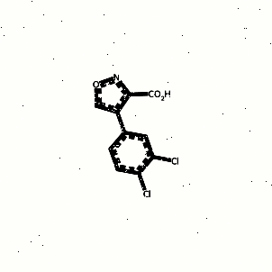 O=C(O)c1nocc1-c1ccc(Cl)c(Cl)c1